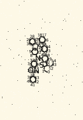 C=Cc1sc2c(N(c3ccc4c(c3)C(c3ccccc3)(c3ccccc3)c3ccccc3-4)c3ccc4oc(-c5ccccc5)nc4c3)cccc2c1/C=C\C